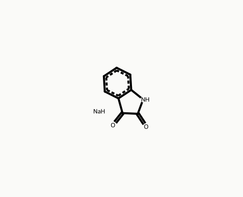 O=C1Nc2ccccc2C1=O.[NaH]